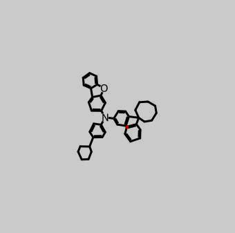 c1ccc(C2(c3ccc(N(c4ccc(C5CCCCC5)cc4)c4ccc5c(c4)oc4ccccc45)cc3)CCCCCCC2)cc1